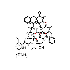 CC[C@H](N)C(=O)N[C@H](C(=O)N(C)[C@@H](CC(C)C)C(=O)N(C)[C@@H](C)C(=O)N(C)[C@@H](CC(C)C)C(=O)N(C)[C@@H](Cc1ccccc1)C(=O)N(C)[C@@H](C)C(=O)N(C)[C@@H](CC(C)C)C(=O)N(C)[C@@H](Cc1ccccc1)C(=O)N[C@@H](CC(=O)O)C(=O)O)[C@@H](C)CC